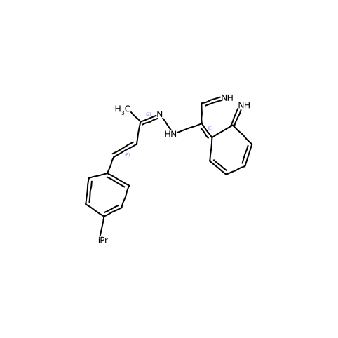 CC(/C=C/c1ccc(C(C)C)cc1)=N/N/C(C=N)=C1\C=CC=CC1=N